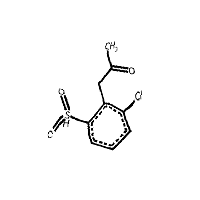 CC(=O)Cc1c(Cl)cccc1[SH](=O)=O